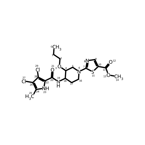 CCCOC1CN(c2ncc(C(=O)OC)s2)CCC1NC(=O)c1[nH]c(C)c(Cl)c1Cl